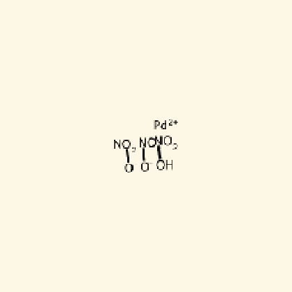 O=[N+]([O-])O.O=[N+]([O-])[O-].O=[N+]([O-])[O-].[Pd+2]